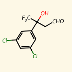 O=CCC(O)(c1cc(Cl)cc(Cl)c1)C(F)(F)F